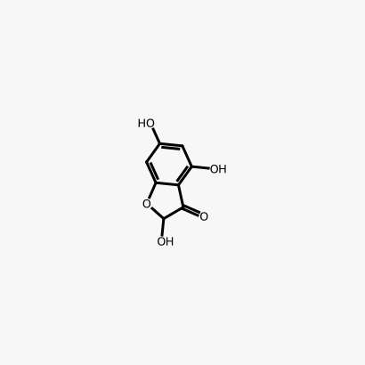 O=C1c2c(O)cc(O)cc2OC1O